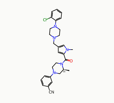 C[C@H]1CN(c2cccc(C#N)c2)CCN1C(=O)c1cc(CN2CCN(c3ccccc3Cl)CC2)cn1C